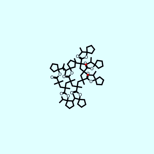 CCC(C)(CC(C)(CC(C)(CC(C)(CC(C)(CC(C)(CC(C)(C)C(=O)OC1(C(C)C)CCCC1)C(=O)OC1(C(C)C)CCCC1)C(=O)OC1(C(C)C)CCCC1)C(=O)OC1(C(C)C)CCCC1)C(=O)OC1(C(C)C)CCCC1)C(=O)OC1(C(C)C)CCCC1)C(=O)OC1(C(C)C)CCCC1